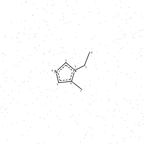 CCn1cncc1C